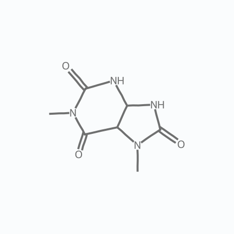 CN1C(=O)NC2NC(=O)N(C)C2C1=O